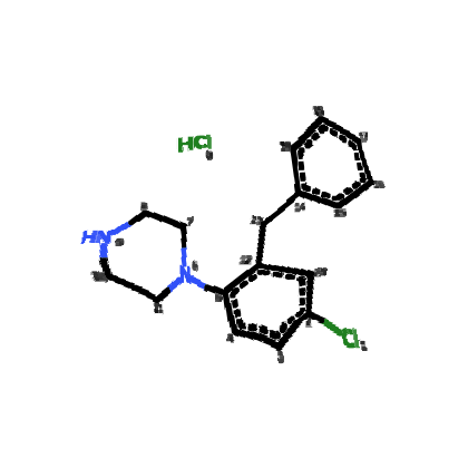 Cl.Clc1ccc(N2CCNCC2)c(Cc2ccccc2)c1